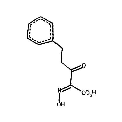 O=C(O)C(=NO)C(=O)CCc1ccccc1